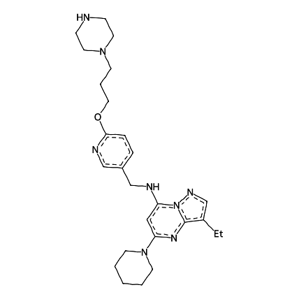 CCc1cnn2c(NCc3ccc(OCCCN4CCNCC4)nc3)cc(N3CCCCC3)nc12